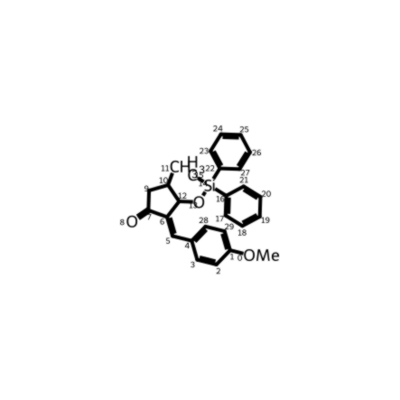 COc1ccc(C=C2C(=O)CC(C)C2O[Si](C)(c2ccccc2)c2ccccc2)cc1